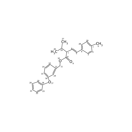 Cc1ccc(C=CC(C(=O)OCc2cccc(Oc3ccccc3)c2)C(C)C)cc1